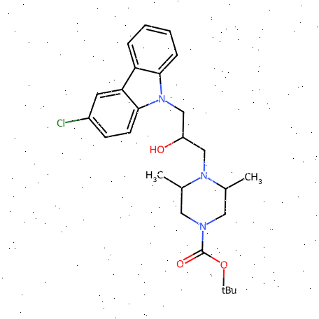 CC1CN(C(=O)OC(C)(C)C)CC(C)N1CC(O)Cn1c2ccccc2c2cc(Cl)ccc21